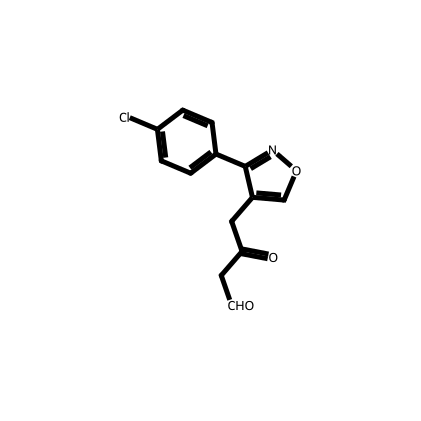 O=CCC(=O)Cc1conc1-c1ccc(Cl)cc1